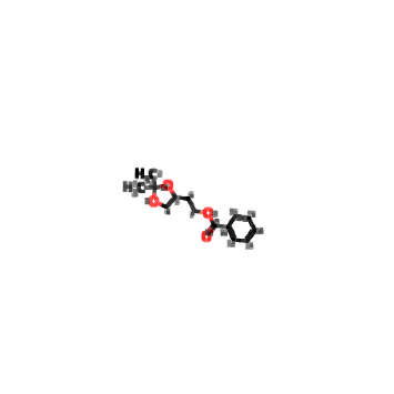 CC1(C)OC[C@H](CCOC(=O)c2ccccc2)O1